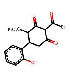 CCOC(=O)C1C(=O)C(C(=O)CC)C(=O)CC1c1ccccc1O